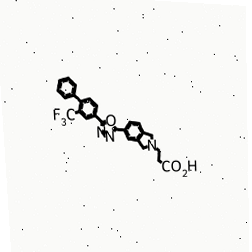 O=C(O)CCN1Cc2ccc(-c3nnc(-c4ccc(-c5ccccc5)c(C(F)(F)F)c4)o3)cc2C1